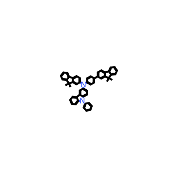 CC1(C)c2ccccc2-c2ccc(-c3ccc(N(c4ccc5c(c4)C(C)(C)c4ccccc4-5)c4ccc5c(c4)c4ccccc4n5-c4ccccc4)cc3)cc21